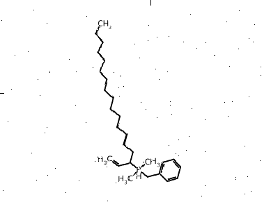 C=CC(CCCCCCCCCCCCCCC)[PH](C)(C)Cc1ccccc1